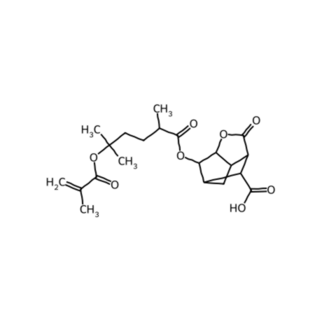 C=C(C)C(=O)OC(C)(C)CCC(C)C(=O)OC1C2CC3C1OC(=O)C3C2C(=O)O